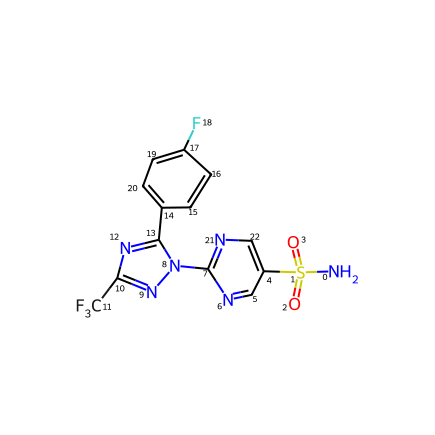 NS(=O)(=O)c1cnc(-n2nc(C(F)(F)F)nc2-c2ccc(F)cc2)nc1